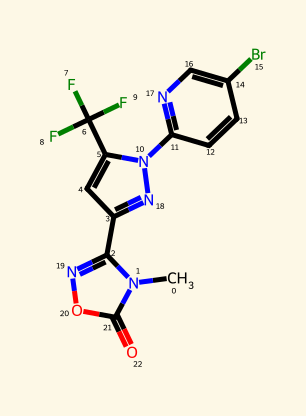 Cn1c(-c2cc(C(F)(F)F)n(-c3ccc(Br)cn3)n2)noc1=O